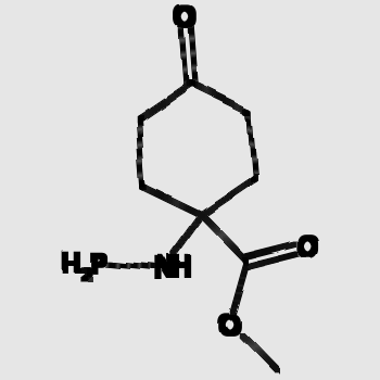 COC(=O)C1(NP)CCC(=O)CC1